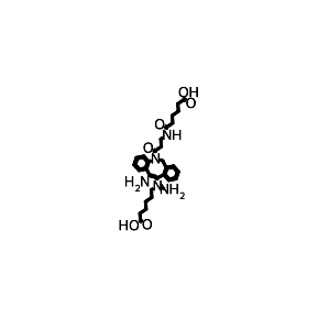 N/C1=C(\N(N)CCCCCC(=O)O)c2ccccc2CN(C(=O)CCNC(=O)CCCCC(=O)O)c2ccccc21